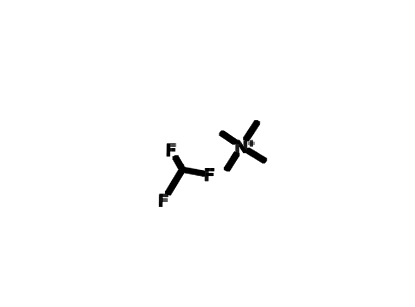 C[N+](C)(C)C.F[C](F)F